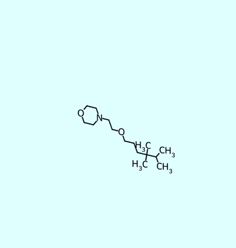 CC(C)C(C)(C)CCCOCCN1CCOCC1